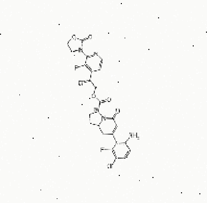 Nc1ccc(Cl)c(F)c1C1=CC(=O)N2C(CC[C@H]2C(=O)OCC(=O)c2ccnc(N3CCOC3=O)c2F)C1